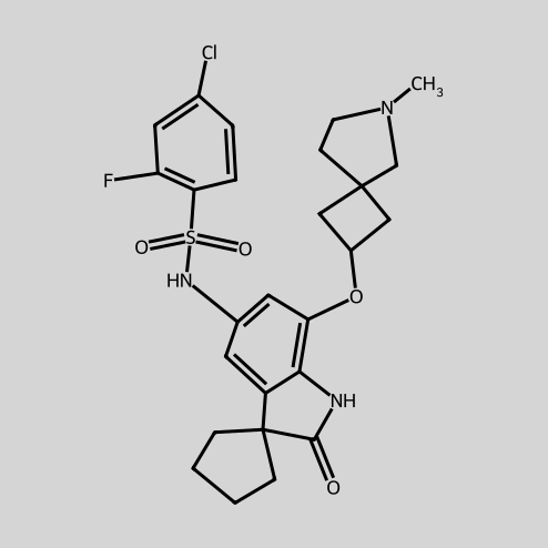 CN1CCC2(CC(Oc3cc(NS(=O)(=O)c4ccc(Cl)cc4F)cc4c3NC(=O)C43CCCC3)C2)C1